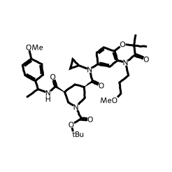 COCCCN1C(=O)C(C)(C)Oc2ccc(N(C(=O)[C@@H]3C[C@H](C(=O)NC(C)c4ccc(OC)cc4)CN(C(=O)OC(C)(C)C)C3)C3CC3)cc21